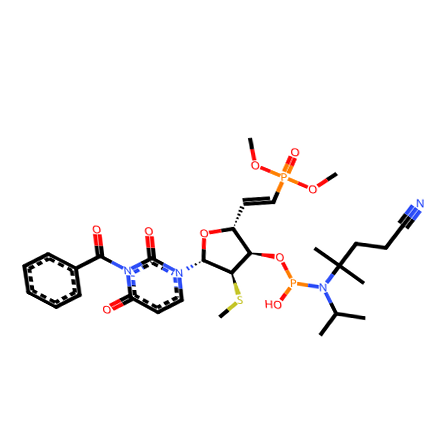 COP(=O)(/C=C/[C@H]1O[C@@H](n2ccc(=O)n(C(=O)c3ccccc3)c2=O)[C@H](SC)[C@@H]1OP(O)N(C(C)C)C(C)(C)CCC#N)OC